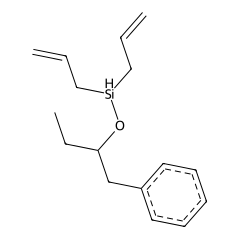 C=CC[SiH](CC=C)OC(CC)Cc1ccccc1